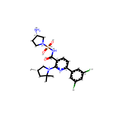 C[C@@H]1CN(c2nc(-c3cc(F)cc(F)c3)ccc2C(=O)NS(=O)(=O)N2CC[C@H](N)C2)C(C)(C)C1